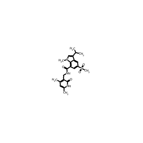 Cc1cc(C)c(CNC(=O)c2cc(S(C)(=O)=O)cc3c(C(C)C)cn(C)c23)c(=O)[nH]1